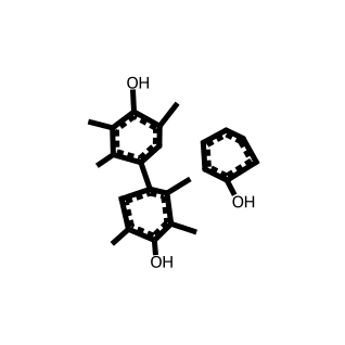 Cc1cc(-c2cc(C)c(O)c(C)c2C)c(C)c(C)c1O.Oc1ccccc1